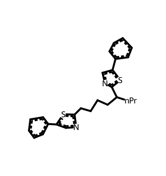 [CH2]CCC(CCCCc1ncc(-c2ccccc2)s1)c1ncc(-c2ccccc2)s1